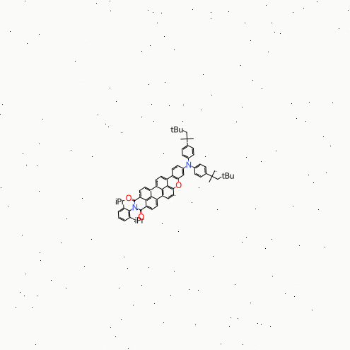 CC(C)c1cccc(C(C)C)c1-n1c(=O)c2ccc3c4ccc5oc6cc(N(c7ccc(C(C)(C)CC(C)(C)C)cc7)c7ccc(C(C)(C)CC(C)(C)C)cc7)ccc6c6ccc(c7ccc(c1=O)c2c37)c4c56